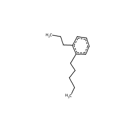 CC[CH]c1ccccc1CCCCC